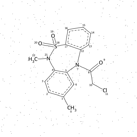 Cc1ccc2c(c1)N(C(=O)CCl)c1ccccc1S(=O)(=O)N2C